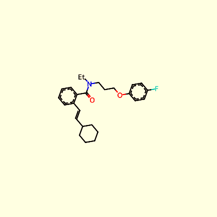 CCN(CCCOc1ccc(F)cc1)C(=O)c1ccccc1/C=C/C1CCCCC1